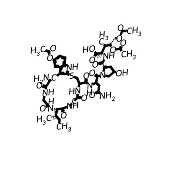 CC[C@H](C)[C@@H]1NC(=O)CNC(=O)C(N)Cc2c([nH]c3ccc(OC(C)=O)cc23)SCC(C(=O)NC(CC(N)=O)C(=O)N2CC(O)C[C@H]2C(=O)N[C@H](C(=O)O)C(C)[C@H](COC(C)=O)OC(C)=O)NC(=O)CNC1=O